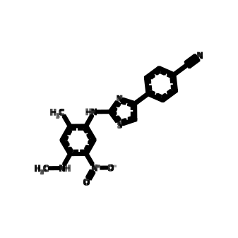 CNc1cc(C)c(Nc2nc(-c3ccc(C#N)cc3)cs2)cc1[N+](=O)[O-]